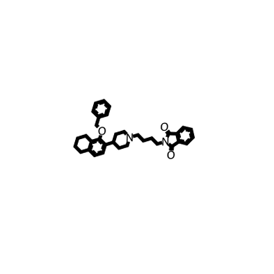 O=C1c2ccccc2C(=O)N1CCCCN1CCC(c2ccc3c(c2OCc2ccccc2)CCCC3)CC1